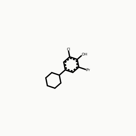 CC(C)c1cc(C2CCCCC2)cc(Cl)c1O